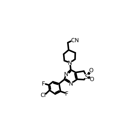 N#CCC1CCN(c2nc(-c3cc(F)c(Cl)cc3F)nc3c2CS(=O)(=O)C3)CC1